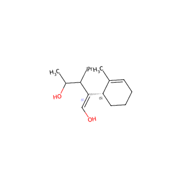 CC1=CCCC[C@@H]1/C(=C\O)C(C(C)C)C(C)O